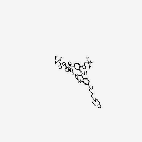 CN(OC(=O)C(F)(F)F)S(=O)(=O)c1ccc(OCC(F)(F)F)c(Nc2ncnc3cc(OCCCN4CCOCC4)ccc23)c1